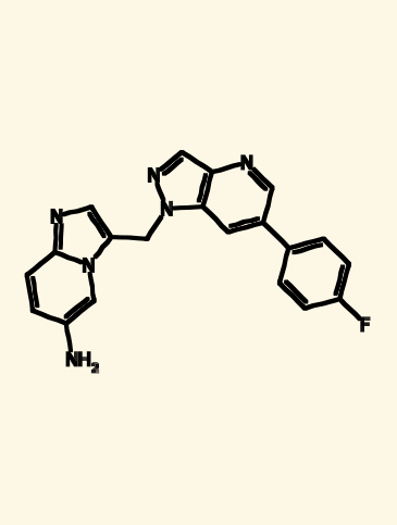 Nc1ccc2ncc(Cn3ncc4ncc(-c5ccc(F)cc5)cc43)n2c1